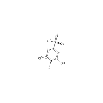 O=S(=O)(Cl)c1cc(O)c(F)c(Cl)c1